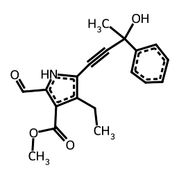 CCc1c(C#CC(C)(O)c2ccccc2)[nH]c(C=O)c1C(=O)OC